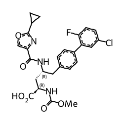 COC(=O)N[C@H](C[C@@H](Cc1ccc(-c2cc(Cl)ccc2F)cc1)NC(=O)c1coc(C2CC2)n1)C(=O)O